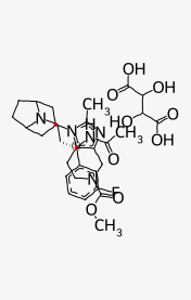 COC(=O)N1CCc2c(nc(C)n2C2CC3CCC(C2)N3CC[C@H](NC(C)=O)c2cccc(F)c2)C1.O=C(O)C(O)C(O)C(=O)O